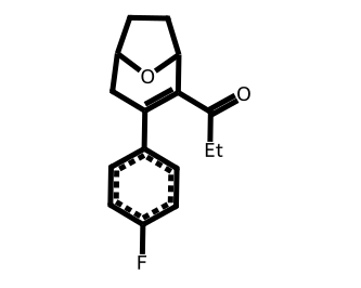 CCC(=O)C1=C(c2ccc(F)cc2)CC2CCC1O2